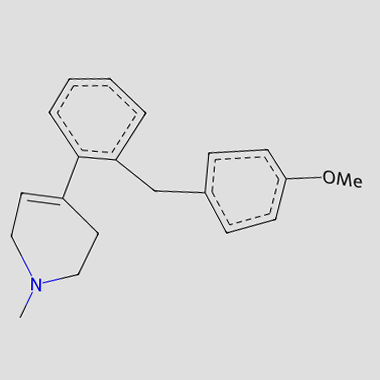 COc1ccc(Cc2ccccc2C2=CCN(C)CC2)cc1